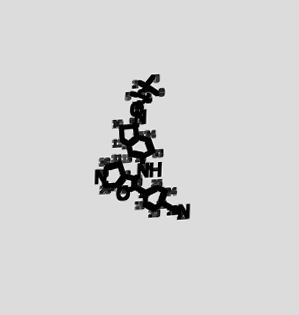 CC(C)(C)[Si](C)(C)ON=C1CCc2cc(Nc3c(-c4ccc(C#N)cc4)oc4cnccc34)ccc21